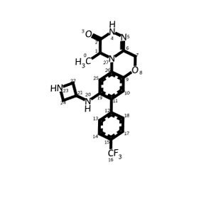 CC1C(=O)NN=C2COc3cc(-c4ccc(C(F)(F)F)cc4)c(NC4CNC4)cc3N21